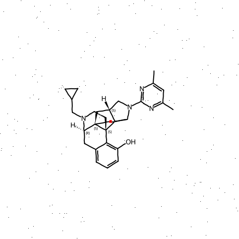 Cc1cc(C)nc(N2C[C@H]3C[C@@]45CCC2C3[C@@]42CCN(CC3CC3)[C@@H]5Cc3cccc(O)c32)n1